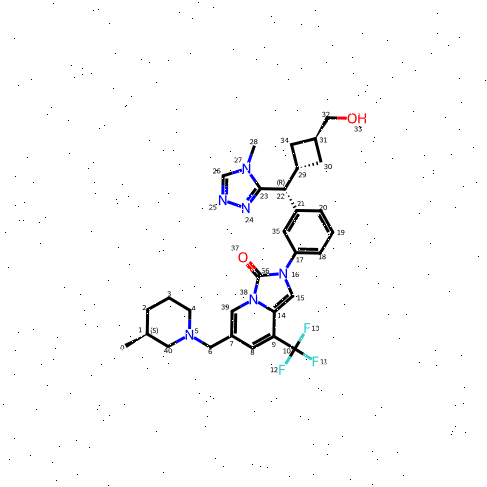 C[C@H]1CCCN(Cc2cc(C(F)(F)F)c3cn(-c4cccc([C@H](c5nncn5C)[C@H]5C[C@H](CO)C5)c4)c(=O)n3c2)C1